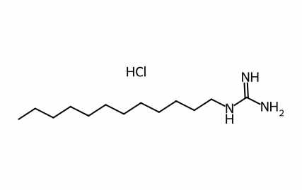 CCCCCCCCCCCCNC(=N)N.Cl